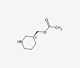 CC(=O)OC[C@H]1CCCNC1